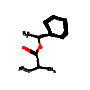 CCCCCC(C)C(=O)OC(C)c1ccccc1